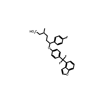 CN(CCC(Oc1ccc(C(F)(F)c2cccc3occc23)cc1)c1ccc(F)cc1)CC(=O)O